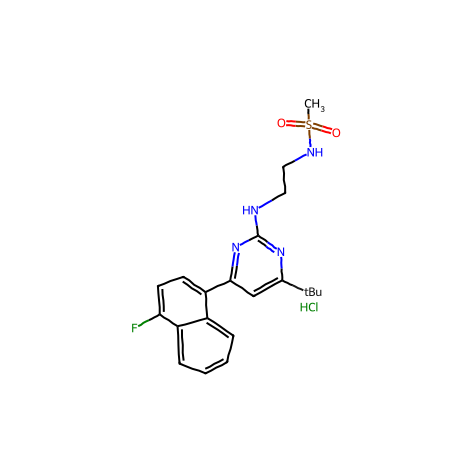 CC(C)(C)c1cc(-c2ccc(F)c3ccccc23)nc(NCCNS(C)(=O)=O)n1.Cl